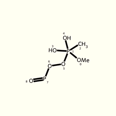 COP(C)(O)(O)OOP=O